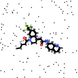 CCCCC(=O)N1CC/C(=C\C(=O)Nc2ccc3cccnc3c2)c2ccc(C(F)(F)F)cc21